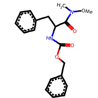 CON(C)C(=O)C(Cc1ccccc1)NC(=O)OCc1ccccc1